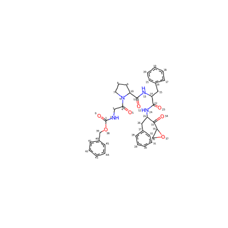 O=C(NCC(=O)N1CCCC1C(=O)NC(Cc1ccccc1)C(=O)NC(Cc1ccccc1)C(=O)C1CO1)OCc1ccccc1